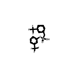 O=P(O)(Cc1cccc(C(F)(F)F)c1)Oc1cccc(C(F)(F)F)c1